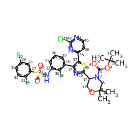 CC(C)(C)OC(=O)N1CC(C)(C)OCC1c1nc(-c2cccc(NS(=O)(=O)c3cc(F)ccc3F)c2F)c(-c2ccnc(Cl)n2)s1